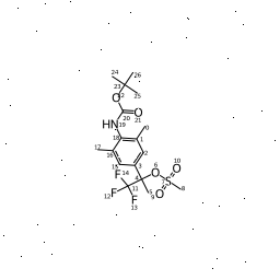 Cc1cc(C(C)(OS(C)(=O)=O)C(F)(F)F)cc(C)c1NC(=O)OC(C)(C)C